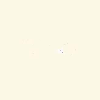 OB(O)c1ccc(-c2cccc3c2Nc2ccccc2O3)cc1